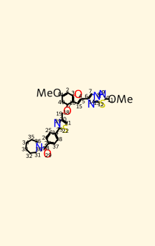 COC1=Cc2oc(-c3cn4nc(OC)sc4n3)cc2C(OCc2csc(-c3ccc(C(=O)N4CCCCCC4)cc3)n2)C1